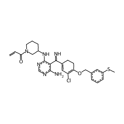 C=CC(=O)N1CCCC(Nc2ncnc(N)c2C(=N)C2=CC(Cl)=C(OCc3cccc(SC)c3)CC2)C1